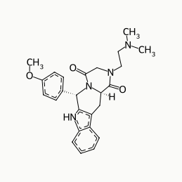 COc1ccc([C@H]2c3[nH]c4ccccc4c3C[C@@H]3C(=O)N(CCN(C)C)CC(=O)N23)cc1